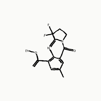 C=C(OCC)c1cc(C)cc2c(=O)n3c(nc12)C(F)(F)CC3